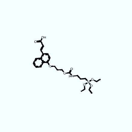 CCO[Si](CCCNC(=O)OCCCOc1ccc(/C=C/C(=O)O)c2ccccc12)(OCC)OCC